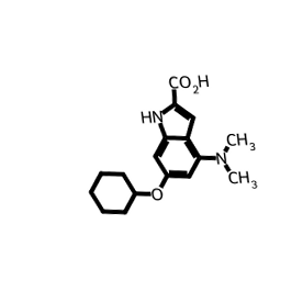 CN(C)c1cc(OC2CCCCC2)cc2[nH]c(C(=O)O)cc12